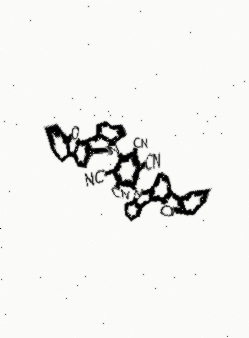 N#Cc1c(C#N)c(-n2c3ccccc3c3c4oc5ccccc5c4ccc32)c(C#N)c(C#N)c1-n1c2ccccc2c2c3oc4ccccc4c3ccc21